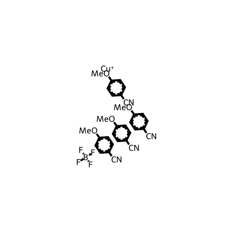 COc1ccc(C#N)cc1.COc1ccc(C#N)cc1.COc1ccc(C#N)cc1.COc1ccc(C#N)cc1.F[B-](F)(F)F.[Cu+]